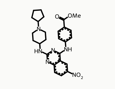 COC(=O)c1ccc(Nc2nc(NC3CCN(C4CCCC4)CC3)nc3ccc([N+](=O)[O-])cc23)cc1